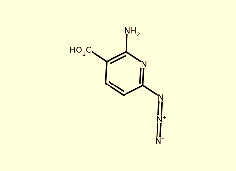 [N-]=[N+]=Nc1ccc(C(=O)O)c(N)n1